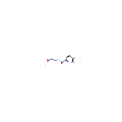 CSc1nc(C(=O)NCCC(=O)OC(C)(C)C)ccc1C#N